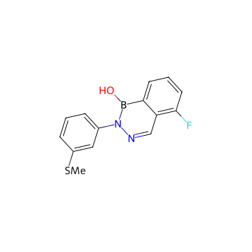 CSc1cccc(N2N=Cc3c(F)cccc3B2O)c1